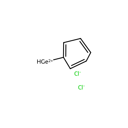 [Cl-].[Cl-].[GeH+2][c]1ccccc1